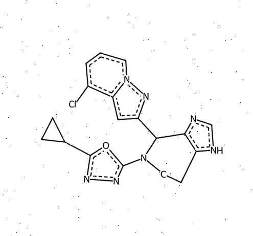 Clc1cccn2nc(C3c4nc[nH]c4CCN3c3nnc(C4CC4)o3)cc12